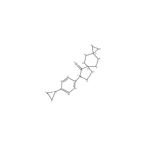 O=C1N(c2ccc(C3CC3)cc2)CCC12CCC1(CC1)CC2